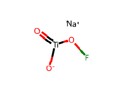 [Na+].[O]=[Ti]([O-])[O]F